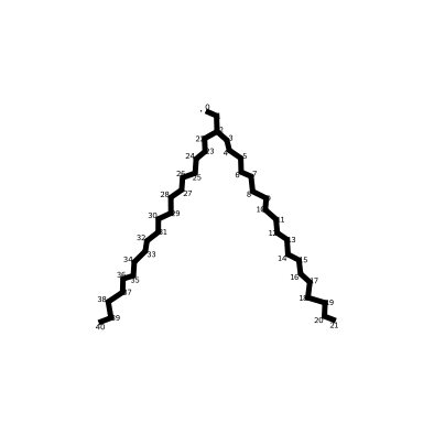 [CH2]CC(CCCCCCCCCCCCCCCCCCC)CCCCCCCCCCCCCCCCCCC